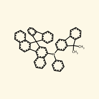 CC1(C)c2ccccc2-c2ccc(N(c3ccccc3)c3cc4c(c5ccccc35)-c3ccc5ccccc5c3C43c4ccccc4-c4ccccc43)cc21